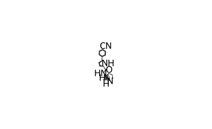 C[C@H]1[C@H](NC(=O)c2ccc(-c3ccc(C#N)cc3)[nH]2)C2CCN1CC2